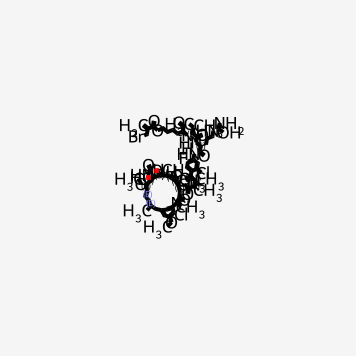 C=C(CBr)C(=O)OCCCCC(C=O)N[C@H](C(=O)N[C@@H](CCCNC(N)O)C(=O)Nc1cc(Cl)c(C(=O)N(C)[C@@H](C)C(=O)O[C@H]2CC(=O)N(C)c3cc(cc(OC)c3Cl)C/C(C)=C/C=C/[C@@H](OC)[C@@]3(O)C[C@H](OC(=O)N3)[C@@H](C)[C@@H]3O[C@@]23C)cc1F)C(C)C